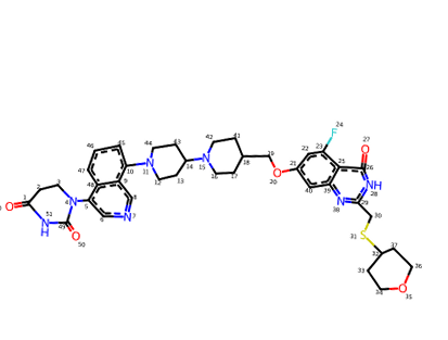 O=C1CCN(c2cncc3c(N4CCC(N5CCC(COc6cc(F)c7c(=O)[nH]c(CSC8CCOCC8)nc7c6)CC5)CC4)cccc23)C(=O)N1